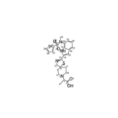 CC(C(=O)O)N1CCC2(CC1)CN=C(c1cc3cccc(N(C)S(=O)(=O)c4cccs4)c3[nH]1)S2